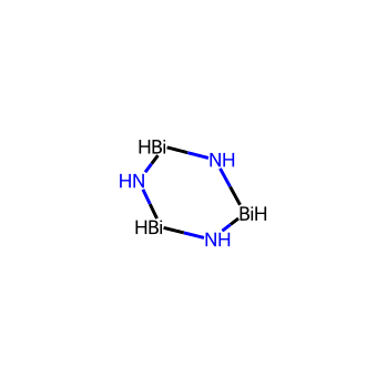 [NH]1[BiH][NH][BiH][NH][BiH]1